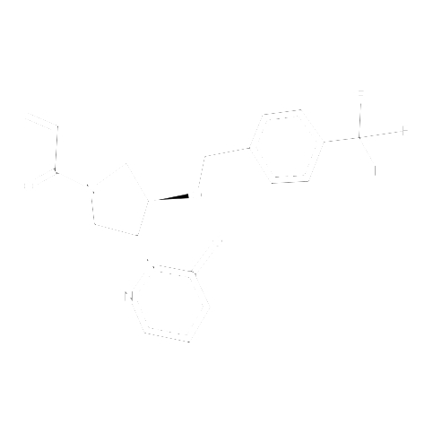 C=CC(=O)N1C[C@@H](n2ncccc2=O)[C@H](OCc2ccc(C(F)(F)F)cc2)C1